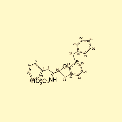 O=C(O)NC(Cc1ccccc1)C1Cc2cccc(Cc3ccccc3)c2O1